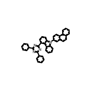 c1ccc(-c2nc(-c3ccccc3)nc(-c3cccc4c3c3ccccc3n4-c3ccc4c(ccc5ccccc54)c3)n2)cc1